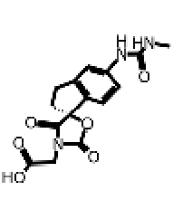 CNC(=O)Nc1ccc2c(c1)CC[C@@]21OC(=O)N(CC(=O)O)C1=O